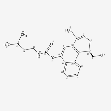 CC1=CC[C@@H](CCl)c2c1cc(OC(=O)NCCN(C)C)c1ccccc21